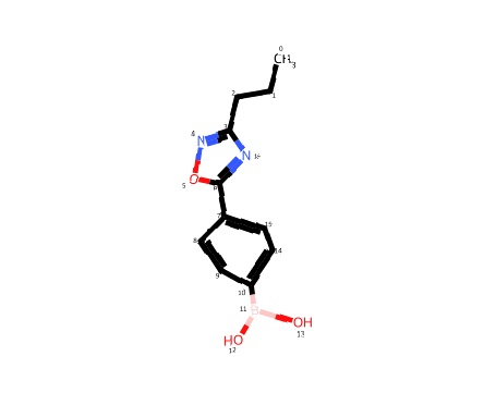 CCCc1noc(-c2ccc(B(O)O)cc2)n1